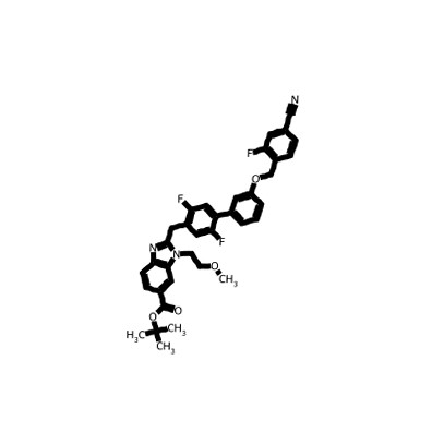 COCCn1c(Cc2cc(F)c(-c3cccc(OCc4ccc(C#N)cc4F)c3)cc2F)nc2ccc(C(=O)OC(C)(C)C)cc21